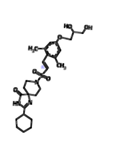 Cc1cc(OCC(O)CO)cc(C)c1/C=C/S(=O)(=O)N1CCC2(CC1)N=C(C1CCCCC1)NC2=O